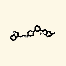 Fc1ccc2[nH]c(-c3cccc(N4CCC(NCCc5c[nH]c6ccccc56)CC4)c3)cc2c1